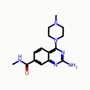 CNC(=O)c1ccc2c(N3CCN(C)CC3)nc(N)nc2c1